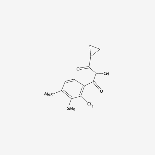 CSc1ccc(C(=O)C(C#N)C(=O)C2CC2)c(C(F)(F)F)c1SC